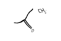 CC(C)=O.[CH3]